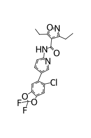 CCc1noc(CC)c1C(=O)Nc1ccc(-c2cc3c(cc2Cl)OC(F)(F)O3)cn1